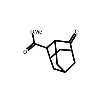 COC(=O)C1C2CC3CC(C2)C(=O)C1C3